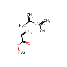 C=C(C)C(=O)OCC.C=CC#N.C=CC(=O)OCCCC